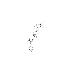 COc1cc2nccc(Oc3ccc4oc(Nc5ccc(Cl)c(CCN6CCN(C)CC6)c5)nc4c3)c2cc1OC